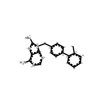 CCCCc1nc2c(N)ncnc2n1Cc1ccc(-c2ccccc2C)cc1